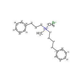 C[N+](C)(CCCCc1ccccc1)CCCc1ccccc1.[Br-]